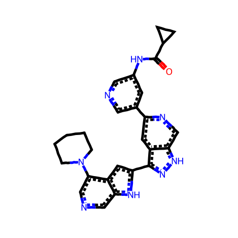 O=C(Nc1cncc(-c2cc3c(-c4cc5c(N6CCCCC6)cncc5[nH]4)n[nH]c3cn2)c1)C1CC1